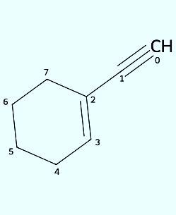 C#CC1=CCCCC1